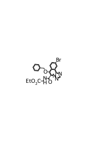 CCOC(=O)CNC(=O)c1c(OCc2ccccc2)c2ccc(Br)cc2c2ncnn12